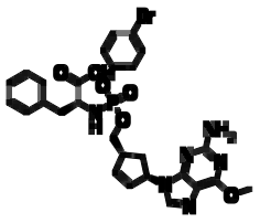 COc1nc(N)nc2c1ncn2[C@H]1C=C[C@@H](COP(=O)(N[C@@H](Cc2ccccc2)C(=O)O)Oc2ccc(Br)cc2)C1